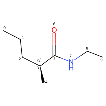 CCC[C@H](C)C(=O)NCC